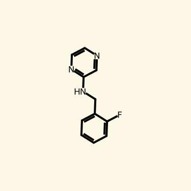 Fc1ccccc1CNc1cnccn1